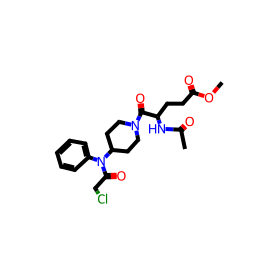 COC(=O)CCC(NC(C)=O)C(=O)N1CCC(N(C(=O)CCl)c2ccccc2)CC1